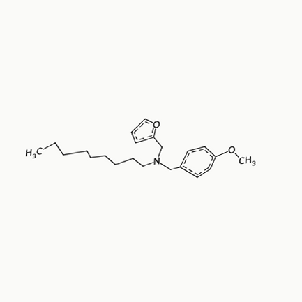 CCCCCCCCCN(Cc1ccc(OC)cc1)Cc1ccco1